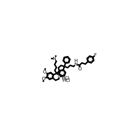 COc1cc2c(cc1OC)C(CCCCN(C)C)(CCCC(CCCNC(=O)CCc1ccc(F)cc1)(c1ccccc1)c1ccccc1)NCC2.Cl.Cl